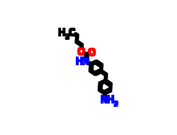 CCCCOC(=O)Nc1ccc(Cc2ccc(N)cc2)cc1